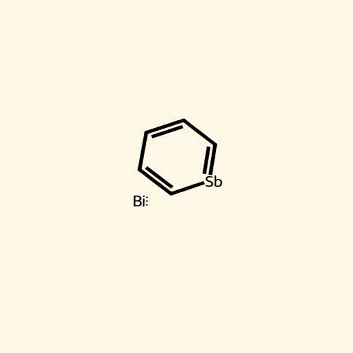 C1=C[CH]=[Sb][CH]=C1.[Bi]